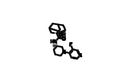 O=C(N[C@H]1CCCN(c2ccncc2F)C1)C12CC3CC(C1)C(O)C(C3)C2